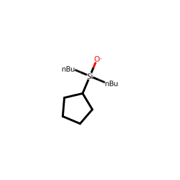 CCCC[Si]([O])(CCCC)C1CCCC1